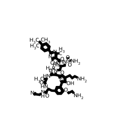 Cc1nc(-c2ccc(C(C)(C)C)cc2)nc(C)c1C(=O)NC(CNS(N)(=O)=O)C(=O)N(C)C1C(=O)NC(C)C(=O)NC(C(=O)NCC#N)Cc2ccc(OCCN)c(c2)-c2cc1cc(CCCN)c2O